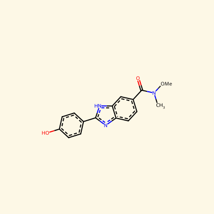 CON(C)C(=O)c1ccc2nc(-c3ccc(O)cc3)[nH]c2c1